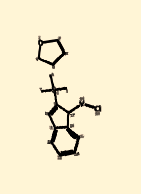 C1CCOC1.C[Si](C)(C)C1=Cc2ccccc2[CH]1[V][Cl]